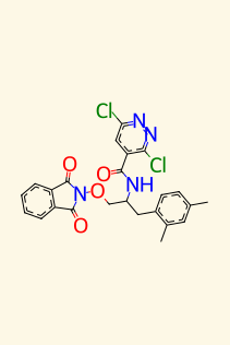 Cc1ccc(CC(CON2C(=O)c3ccccc3C2=O)NC(=O)c2cc(Cl)nnc2Cl)c(C)c1